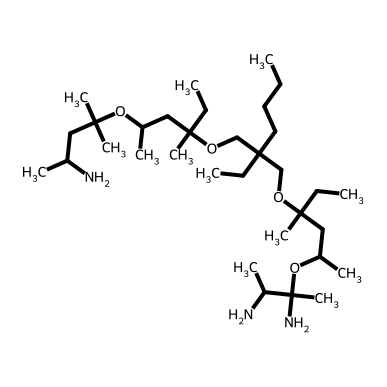 CCCCC(CC)(COC(C)(CC)CC(C)OC(C)(C)CC(C)N)COC(C)(CC)CC(C)OC(C)(N)C(C)N